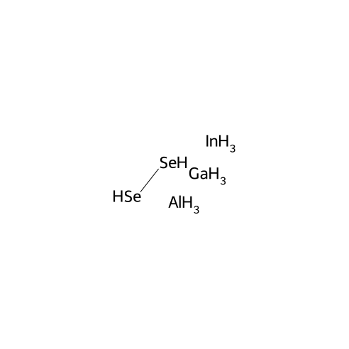 [AlH3].[GaH3].[InH3].[SeH][SeH]